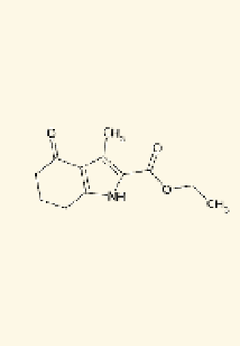 CCOC(=O)c1[nH]c2c(c1C)C(=O)CCC2